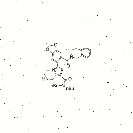 CCCCN(CCCC)C(=O)c1cc(-c2cc3c(cc2C(=O)N2Cc4ccccc4C[C@H]2C)OCO3)n2c1CNCC2